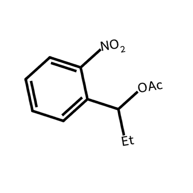 CCC(OC(C)=O)c1ccccc1[N+](=O)[O-]